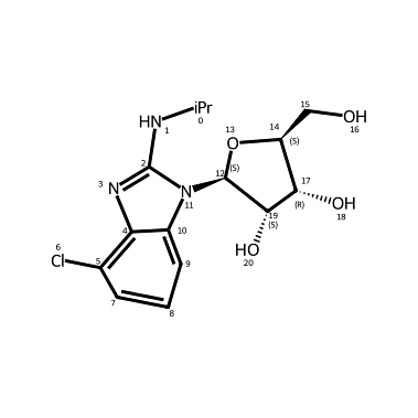 CC(C)Nc1nc2c(Cl)cccc2n1[C@H]1O[C@@H](CO)[C@H](O)[C@@H]1O